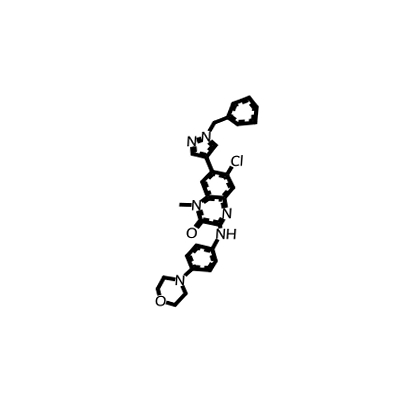 Cn1c(=O)c(Nc2ccc(N3CCOCC3)cc2)nc2cc(Cl)c(-c3cnn(Cc4ccccc4)c3)cc21